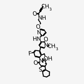 CC#CC(=O)NCCOc1cccc(Nc2cc(-c3cc(F)cc(-n4ncc5c6c(sc5c4=O)CCCC6)c3CO)cn(C)c2=O)n1